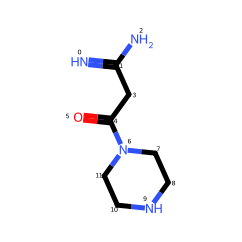 N=C(N)CC(=O)N1CCNCC1